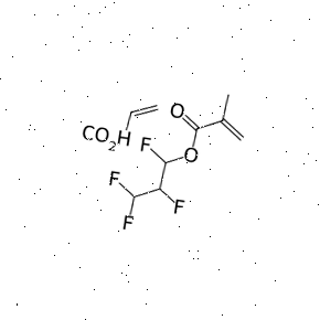 C=C(C)C(=O)OC(F)C(F)C(F)F.C=CC(=O)O